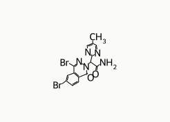 Cc1cnc(C(C(N)=O)n2nc(Br)c3cc(Br)ccc3c2=O)nc1